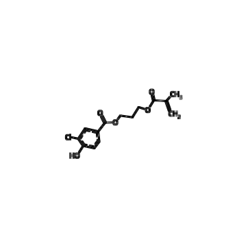 C=C(C)C(=O)OCCCOC(=O)c1ccc(O)c(Cl)c1